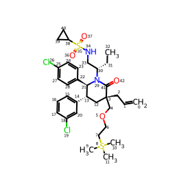 C=CC[C@@]1(COCCS(C)(C)C)C[C@H](c2cccc(Cl)c2)[C@@H](c2ccc(Cl)cc2)N([C@@H](CC)CNS(=O)(=O)C2CC2)C1=O